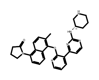 Cc1ccc2c(N3CCCC3=O)cccc2c1Oc1ncccc1-c1ccnc(N[C@H]2CCCNC2)n1